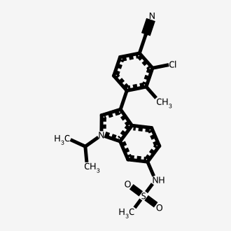 Cc1c(-c2cn(C(C)C)c3cc(NS(C)(=O)=O)ccc23)ccc(C#N)c1Cl